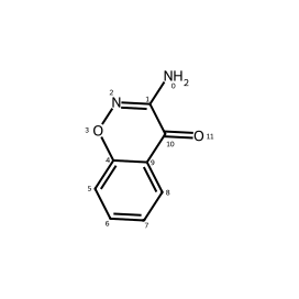 Nc1noc2ccccc2c1=O